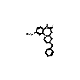 CCOC(=O)c1ccc2c(c1)N1CCN(Cc3ccccc3)CC1CC(=O)N2